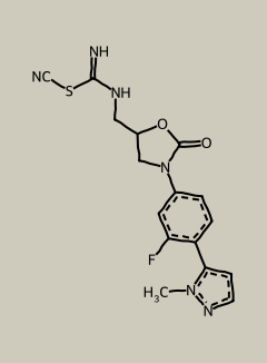 Cn1nccc1-c1ccc(N2CC(CNC(=N)SC#N)OC2=O)cc1F